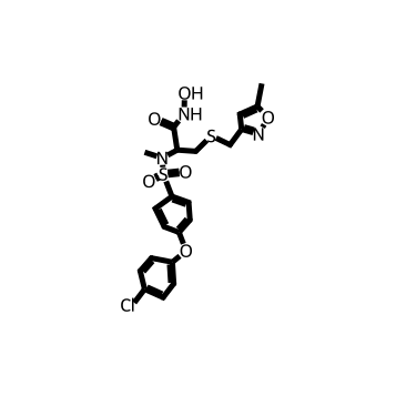 Cc1cc(CSCC(C(=O)NO)N(C)S(=O)(=O)c2ccc(Oc3ccc(Cl)cc3)cc2)no1